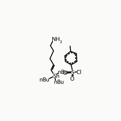 CCC[CH2][Sn](/[CH]=C/CCCN)([CH2]CCC)[CH2]CCC.Cc1ccc(S(=O)(=O)Cl)cc1